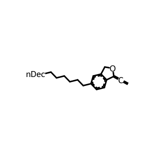 C=C=C1OCc2cc(CCCCCCCCCCCCCCCC)ccc21